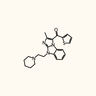 Cc1nc2n(CCN3CCCCC3)c3ccccc3n2c1C(=O)c1cccs1